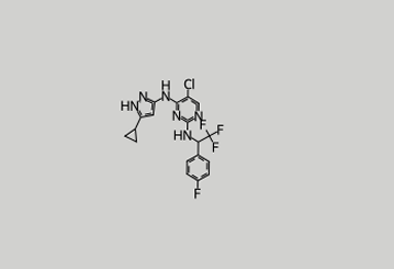 Fc1ccc(C(Nc2ncc(Cl)c(Nc3cc(C4CC4)[nH]n3)n2)C(F)(F)F)cc1